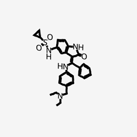 CCN(CC)Cc1ccc(N/C(=C2/C(=O)Nc3ccc(NS(=O)(=O)C4CC4)cc32)c2ccccc2)cc1